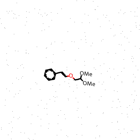 COC(COC=Cc1ccccc1)OC